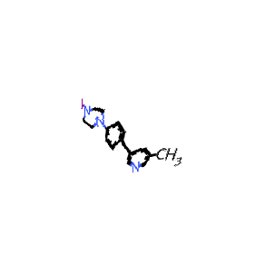 Cc1cncc(-c2ccc(N3CCN(I)CC3)cc2)c1